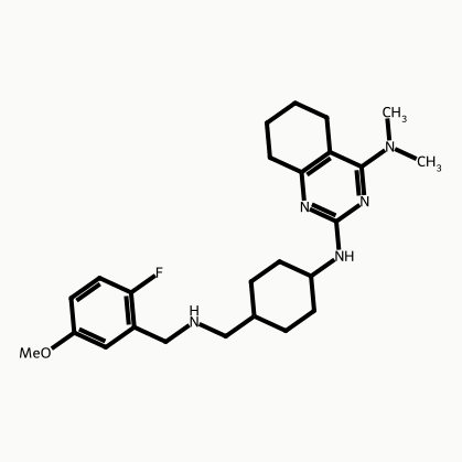 COc1ccc(F)c(CNCC2CCC(Nc3nc4c(c(N(C)C)n3)CCCC4)CC2)c1